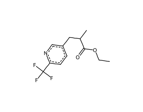 CCOC(=O)C(C)Cc1ccc(C(F)(F)F)nc1